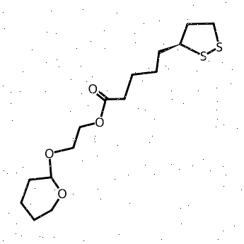 O=C(CCCC[C@H]1CCSS1)OCCOC1CCCCO1